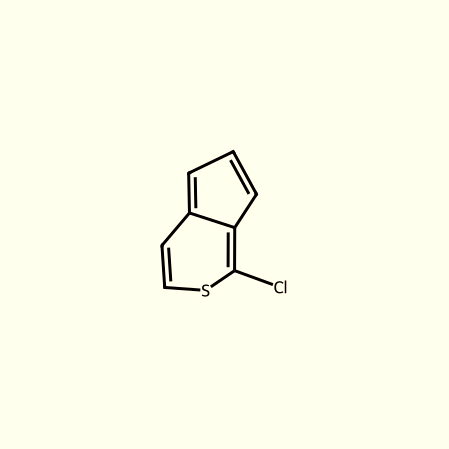 Clc1sccc2cccc1-2